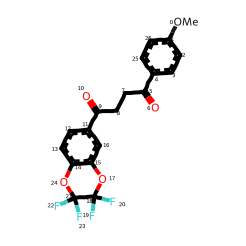 COc1ccc(C(=O)CCC(=O)c2ccc3c(c2)OC(F)(F)C(F)(F)O3)cc1